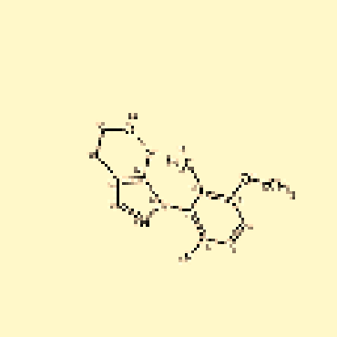 COc1ccc(F)c(-n2ncc3c2COCC3)c1C